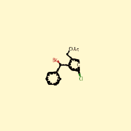 CC(=O)OCc1ccc(Cl)cc1C(Br)c1ccccc1